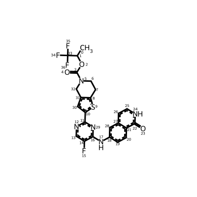 CC(OC(=O)N1CCc2sc(-c3ncc(F)c(Nc4ccc5c(=O)[nH]ccc5c4)n3)cc2C1)C(F)(F)F